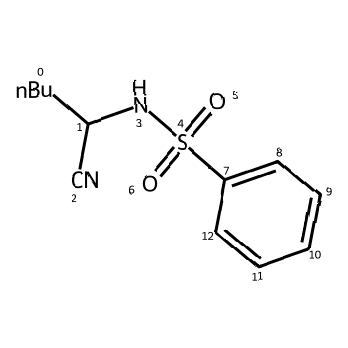 CCCCC(C#N)NS(=O)(=O)c1ccccc1